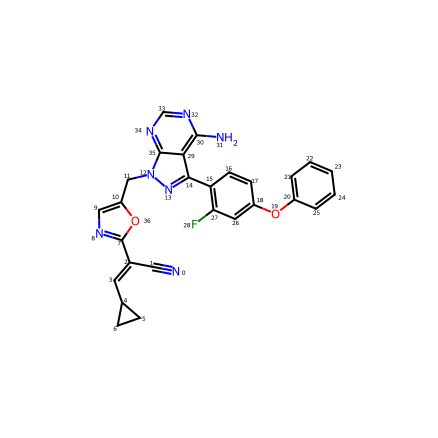 N#C/C(=C\C1CC1)c1ncc(Cn2nc(-c3ccc(Oc4ccccc4)cc3F)c3c(N)ncnc32)o1